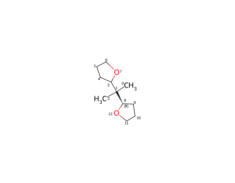 CC(C)(C1CCCO1)[C@H]1CCCO1